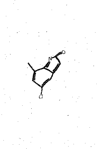 Cc1cc(Cl)cc2c1=NC(=O)C=2